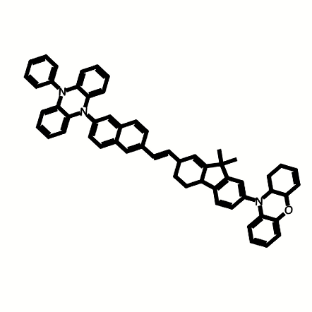 CC1(C)C2=CC(/C=C/c3ccc4cc(N5c6ccccc6N(c6ccccc6)c6ccccc65)ccc4c3)CCC2c2ccc(N3c4ccccc4OC4C=CCCC43)cc21